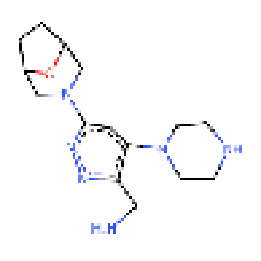 NCc1nnc(N2CC3CCC(C2)O3)cc1N1CCNCC1